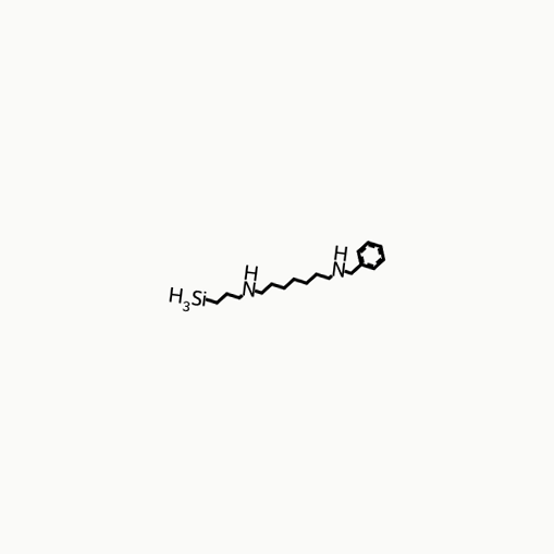 [SiH3]CCCNCCCCCCCNCc1ccccc1